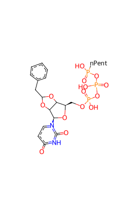 CCCCCP(=O)(O)OP(=O)(O)OP(=O)(O)OC[C@H]1O[C@@H](n2ccc(=O)[nH]c2=O)C2OC(Cc3ccccc3)OC21